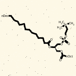 CCCCCCCCCCCCCCCCCCCCCCC(=O)O[C@H](COC(=O)CCCCCCCC)COP(=O)([O-])OCC[N+](C)(C)C